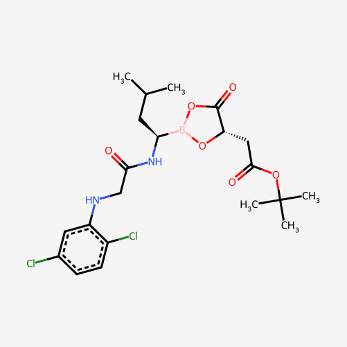 CC(C)C[C@H](NC(=O)CNc1cc(Cl)ccc1Cl)B1OC(=O)[C@H](CC(=O)OC(C)(C)C)O1